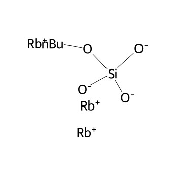 CCCCO[Si]([O-])([O-])[O-].[Rb+].[Rb+].[Rb+]